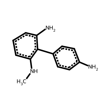 CNc1cccc(N)c1-c1ccc(N)cc1